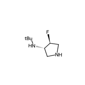 CC(C)(C)N[C@H]1CNC[C@@H]1F